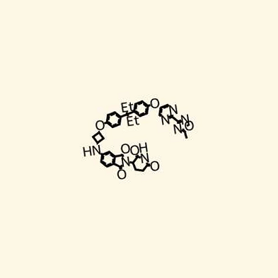 CCC(CC)(c1ccc(Oc2cnc(-c3noc(C)n3)nc2)cc1)c1ccc(O[C@H]2C[C@@H](Nc3ccc4c(c3)C(=O)N(C3CCC(=O)NC3=O)C4=O)C2)cc1